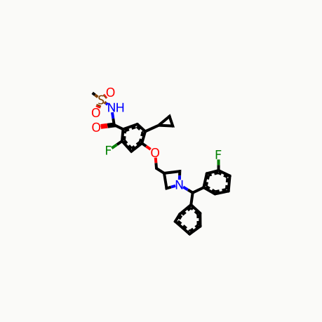 CS(=O)(=O)NC(=O)c1cc(C2CC2)c(OCC2CN(C(c3ccccc3)c3cccc(F)c3)C2)cc1F